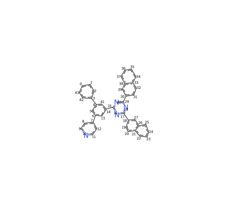 c1ccc(-c2cc(-c3ccncc3)cc(-c3nc(-c4ccc5ccccc5c4)nc(-c4ccc5ccccc5c4)n3)c2)cc1